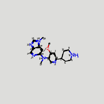 COc1cc(C2CCNCC2)ncc1N(C)c1cc2c(cn1)ncn2C